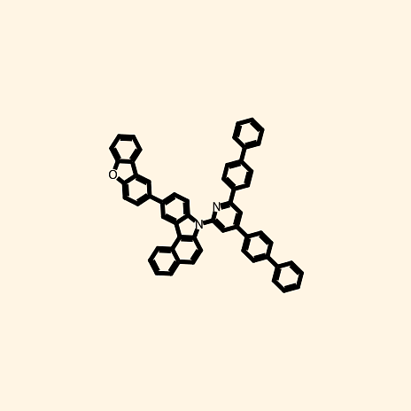 c1ccc(-c2ccc(-c3cc(-c4ccc(-c5ccccc5)cc4)nc(-n4c5ccc(-c6ccc7oc8ccccc8c7c6)cc5c5c6ccccc6ccc54)c3)cc2)cc1